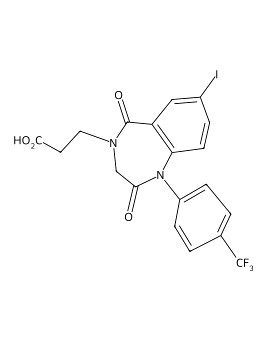 O=C(O)CCN1CC(=O)N(c2ccc(C(F)(F)F)cc2)c2ccc(I)cc2C1=O